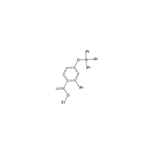 C=C(OCC)c1ccc(O[Si](C(C)C)(C(C)C)C(C)C)cc1C(C)C